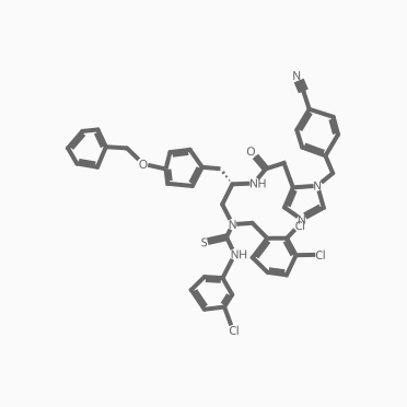 N#Cc1ccc(Cn2cncc2CC(=O)N[C@@H](Cc2ccc(OCc3ccccc3)cc2)CN(Cc2cccc(Cl)c2Cl)C(=S)Nc2cccc(Cl)c2)cc1